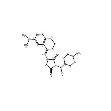 CCC(N1CCN(C)CC1)N1C(=O)CN(/N=C2\CCOc3ccc(C(C)O)cc32)C1=O